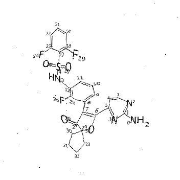 Nc1nccc(C2=C(c3cccc(NS(=O)(=O)c4c(F)cccc4F)c3F)C(=O)C3(CCCC3)O2)n1